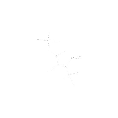 C=C1CC(SC(C)(C)C)C(=O)N1C(C)(C)C